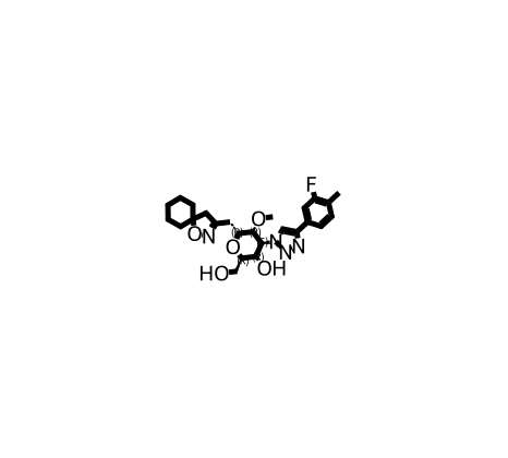 CO[C@@H]1[C@@H](n2cc(-c3ccc(C)c(F)c3)nn2)[C@@H](O)[C@@H](CO)O[C@@H]1CC1=NOC2(CCCCC2)C1